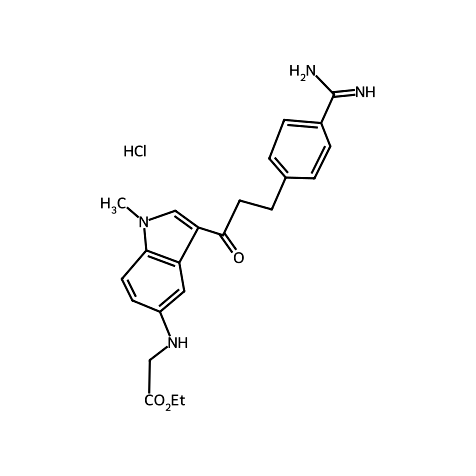 CCOC(=O)CNc1ccc2c(c1)c(C(=O)CCc1ccc(C(=N)N)cc1)cn2C.Cl